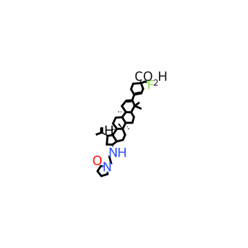 C=C(C)[C@@H]1C[C@@H](NCCN2CCCC2=O)C2CC[C@]3(C)[C@H](CCC4[C@@]5(C)CC=C(C6=CC[C@](CF)(C(=O)O)CC6)C(C)(C)C5CC[C@]43C)C21